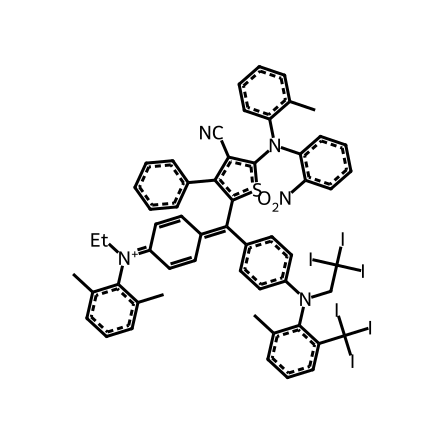 CC[N+](=C1C=CC(=C(c2ccc(N(CC(I)(I)I)c3c(C)cccc3C(I)(I)I)cc2)c2sc(N(c3ccccc3C)c3ccccc3[N+](=O)[O-])c(C#N)c2-c2ccccc2)C=C1)c1c(C)cccc1C